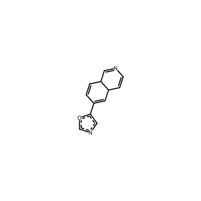 C1=CC2C=C(c3cnco3)C=CC2C=N1